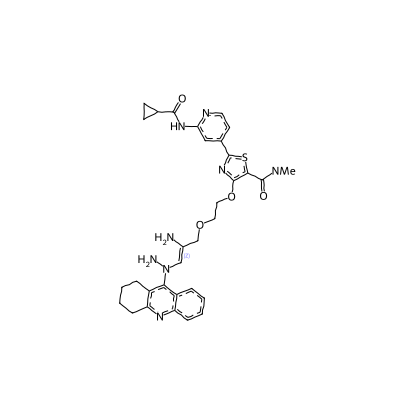 CNC(=O)c1sc(-c2ccnc(NC(=O)C3CC3)c2)nc1OCCOC/C(N)=C/N(N)c1c2c(nc3ccccc13)CCCC2